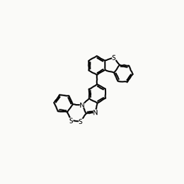 c1ccc2c(c1)SSc1nc3ccc(-c4cccc5sc6ccccc6c45)cc3n1-2